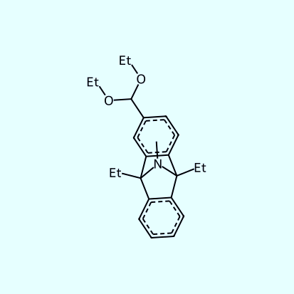 CCOC(OCC)c1ccc2c(c1)C1(CC)c3ccccc3C2(CC)N1C